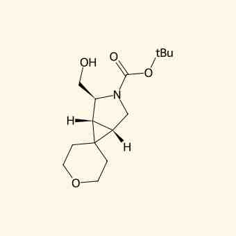 CC(C)(C)OC(=O)N1C[C@H]2[C@@H]([C@H]1CO)C21CCOCC1